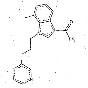 Cc1cccc2c(C(=O)C(F)(F)F)cn(CCCc3cccnc3)c12